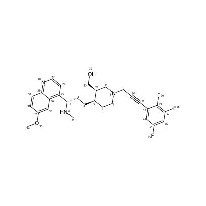 CN[C@@H](CC[C@@H]1CCN(CC#Cc2cc(F)cc(F)c2F)C[C@@H]1CO)c1ccnc2ccc(OC)cc12